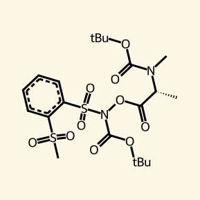 C[C@H](C(=O)ON(C(=O)OC(C)(C)C)S(=O)(=O)c1ccccc1S(C)(=O)=O)N(C)C(=O)OC(C)(C)C